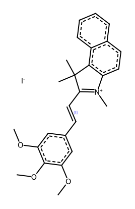 COc1cc(/C=C/C2=[N+](C)c3ccc4ccccc4c3C2(C)C)cc(OC)c1OC.[I-]